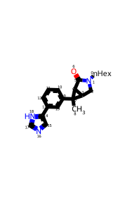 CCCCCCN1CC2C(C1=O)C2(C)c1cccc(-c2cnc[nH]2)c1